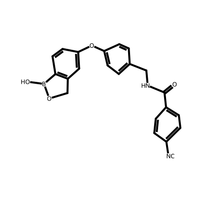 [C-]#[N+]c1ccc(C(=O)NCc2ccc(Oc3ccc4c(c3)COB4O)cc2)cc1